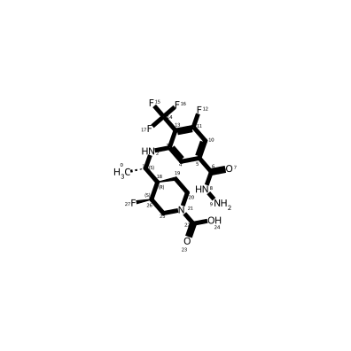 C[C@H](Nc1cc(C(=O)NN)cc(F)c1C(F)(F)F)[C@H]1CCN(C(=O)O)C[C@H]1F